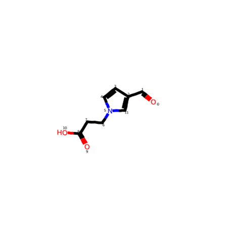 O=Cc1ccn(CCC(=O)O)c1